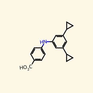 O=C(O)c1ccc(Nc2cc(C3CC3)cc(C3CC3)c2)cc1